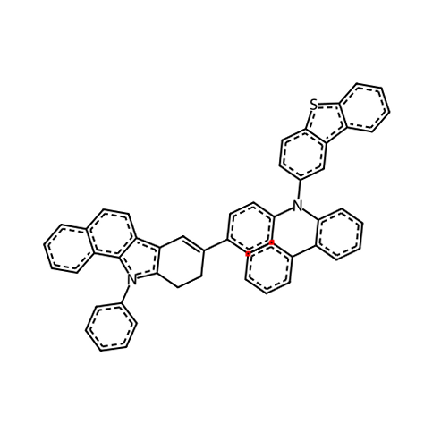 C1=C(c2ccc(N(c3ccc4sc5ccccc5c4c3)c3ccccc3-c3ccccc3)cc2)CCc2c1c1ccc3ccccc3c1n2-c1ccccc1